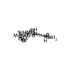 COC1C(OC(=O)N[C@@H](COC(=O)NCCCCCCNC(=O)CN)C(C)C)CC[C@]2(CO2)C1C1(C)O[C@@H]1CC=C(C)C